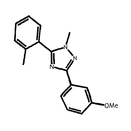 COc1cccc(-c2nc(-c3ccccc3C)n(C)n2)c1